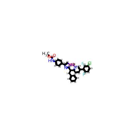 COC(=O)Nc1ccc(-c2c[nH]c(C(Cc3ccccc3)c3ccc(-c4c(F)ccc(Cl)c4F)c[n+]3O)n2)cc1